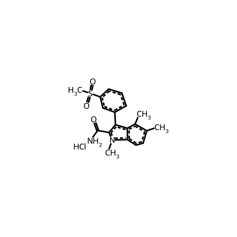 Cc1ccc2c(c1C)c(-c1cccc(S(C)(=O)=O)c1)c(C(N)=O)n2C.Cl